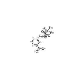 O=[N+]([O-])c1cccc(CNS(=O)(=O)C(F)(F)F)c1